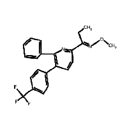 CC/C(=N\OC)c1ccc(-c2ccc(C(F)(F)F)cc2)c(-c2ccccc2)n1